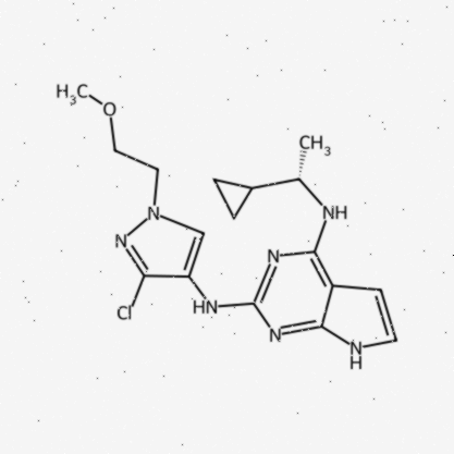 COCCn1cc(Nc2nc(N[C@@H](C)C3CC3)c3cc[nH]c3n2)c(Cl)n1